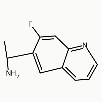 CC(N)c1cc2cccnc2cc1F